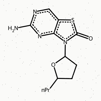 CCCC1CCC(n2c(=O)sc3cnc(N)nc32)O1